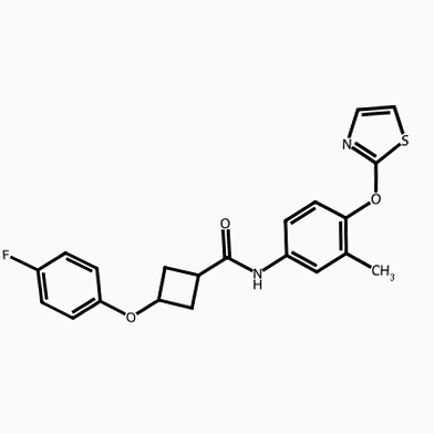 Cc1cc(NC(=O)C2CC(Oc3ccc(F)cc3)C2)ccc1Oc1nccs1